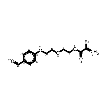 C=C(F)C(=O)OCCOCCOc1ccc(C=O)cc1